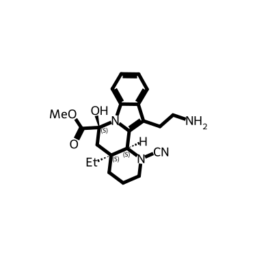 CC[C@@]12CCCN(C#N)[C@@H]1c1c(CCN)c3ccccc3n1[C@@](O)(C(=O)OC)C2